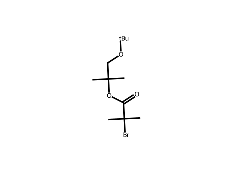 CC(C)(C)OCC(C)(C)OC(=O)C(C)(C)Br